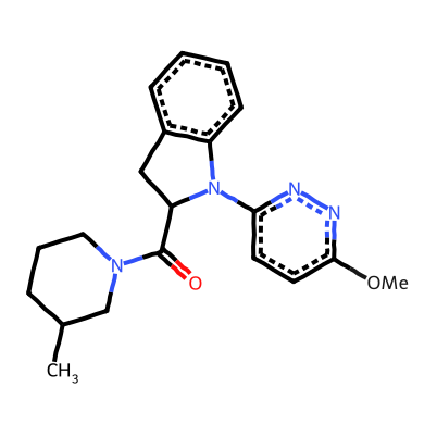 COc1ccc(N2c3ccccc3CC2C(=O)N2CCCC(C)C2)nn1